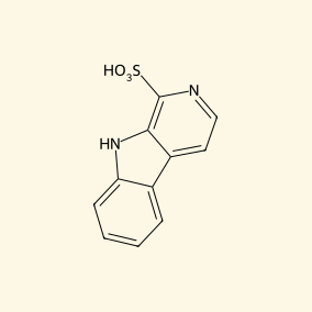 O=S(=O)(O)c1nccc2c1[nH]c1ccccc12